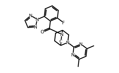 Cc1cc(C)nc(N2CC3CCC2CN3C(=O)c2c(F)cccc2-n2nccn2)n1